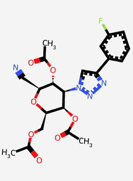 CC(=O)OC[C@H]1O[C@@H](C#N)[C@H](OC(C)=O)[C@@H](n2cc(-c3cccc(F)c3)nn2)[C@H]1OC(C)=O